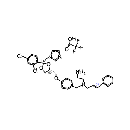 NCCN(C/C=C/c1ccccc1)Cc1ccc(OC[C@@H]2CO[C@@](Cn3ccnc3)(c3ccc(Cl)cc3Cl)O2)cc1.O=C(O)C(F)(F)F